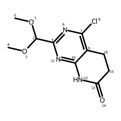 COC(OC)c1nc(Cl)c2c(n1)NC(=O)CC2